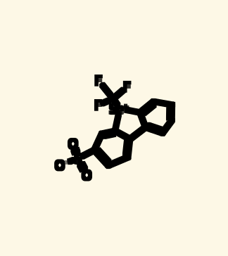 O=S(=O)([O-])c1ccc2c3ccccc3[se+](C(F)(F)F)c2c1